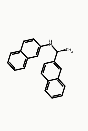 C[C@H](Nc1ccc2ccccc2c1)c1ccc2ccccc2c1